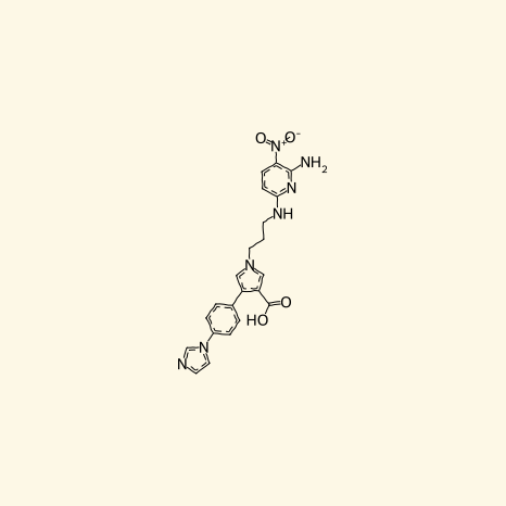 Nc1nc(NCCCn2cc(C(=O)O)c(-c3ccc(-n4ccnc4)cc3)c2)ccc1[N+](=O)[O-]